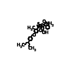 CCCC(CCC)c1ccc(COc2ccc(-c3csc(CC(NCC(=O)O)(C(N)=O)c4ccccc4)n3)c(C)c2)cc1